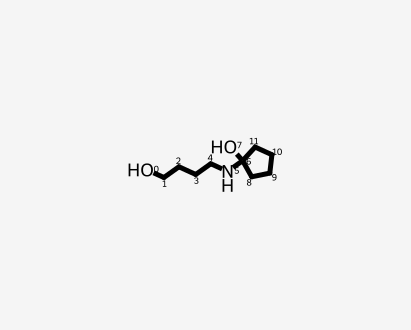 OCCCCNC1(O)CCCC1